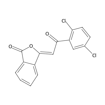 O=C(C=C1OC(=O)c2ccccc21)c1cc(Cl)ccc1Cl